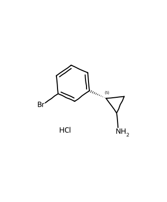 Cl.NC1C[C@H]1c1cccc(Br)c1